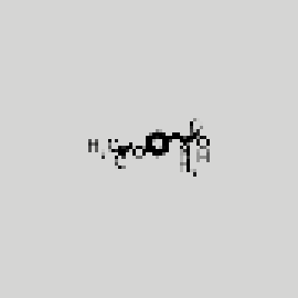 CC(=O)COc1ccc(C[C@H](N)C(=O)O)cc1